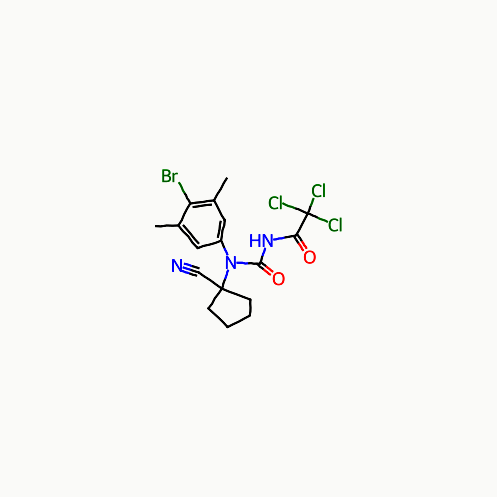 Cc1cc(N(C(=O)NC(=O)C(Cl)(Cl)Cl)C2(C#N)CCCC2)cc(C)c1Br